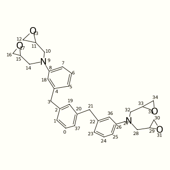 c1cc(Cc2cccc(N(CC3CO3)CC3CO3)c2)cc(Cc2cccc(N(CC3CO3)CC3CO3)c2)c1